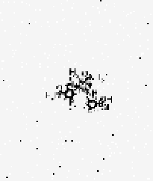 Cc1cc2c(C(N)=O)cc(F)cc2n1-c1nc(NCc2cccc(B(O)O)c2)nc(C(N)=O)n1